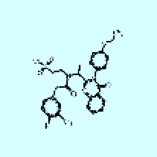 CCS(=O)(=O)CCN(C(=O)Cc1ccc(F)c(C(F)(F)F)c1)C(C)c1nc2ccccc2c(=O)n1-c1ccc(OCC(F)(F)F)cc1